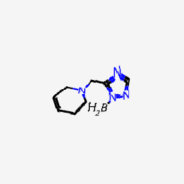 Bn1ncnc1CN1CC=CCC1